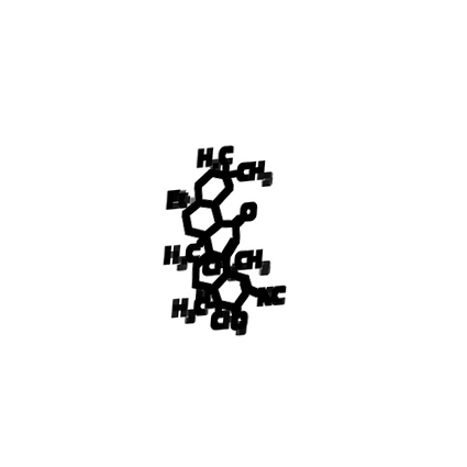 [C-]#[N+]C1=C[C@]2(C)C3=CC(=O)C4C5CC(C)(C)CC[C@]5(CC)CC[C@@]4(C)[C@]3(C)CC[C@H]2C(C)(C)C1=O